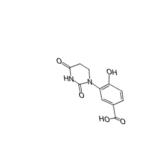 O=C1CCN(c2cc(C(=O)O)ccc2O)C(=O)N1